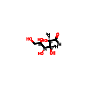 [2H]C(=O)[C@]([2H])(O)[C@@]([2H])(O)[C@H](O)[C@H](O)CO